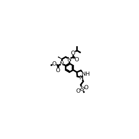 COC(=O)N1c2ccc(C3CNN(CCS(C)(=O)=O)C3)cc2N(C(=O)OC(C)C)C[C@@H]1C